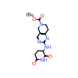 CC(C)(C)OC(=O)N1CCc2nc(NC3CCC(=O)NC3=O)ncc2C1